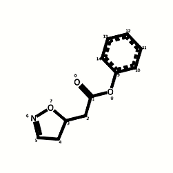 O=C(CC1CC=NO1)Oc1ccccc1